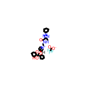 Cc1nn(-c2ccccc2)nc1C(=O)NCC[N+]12CCC(CC1)[C@@H](OC(=O)C(O)(c1ccccc1)c1ccccc1)C2.O=C([O-])C(F)(F)F